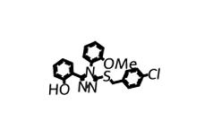 COc1ccccc1-n1c(SCc2ccc(Cl)cc2)nnc1-c1ccccc1O